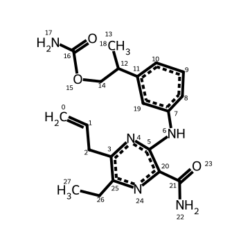 C=CCc1nc(Nc2cccc(C(C)COC(N)=O)c2)c(C(N)=O)nc1CC